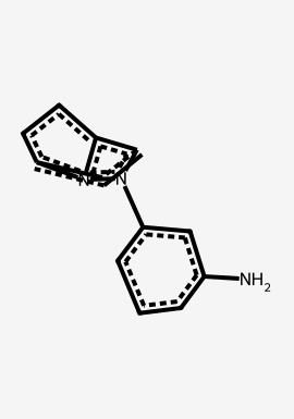 Nc1cccc(-n2c3cc4ccc3n42)c1